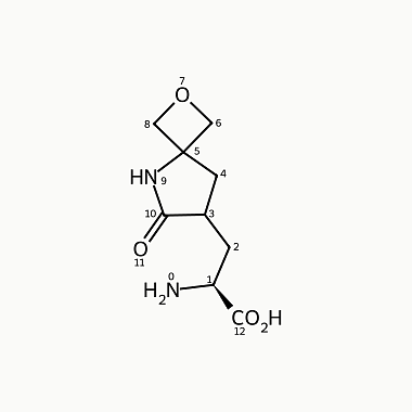 N[C@@H](CC1CC2(COC2)NC1=O)C(=O)O